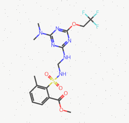 COC(=O)c1cccc(C)c1S(=O)(=O)NCNc1nc(OCC(F)(F)F)nc(N(C)C)n1